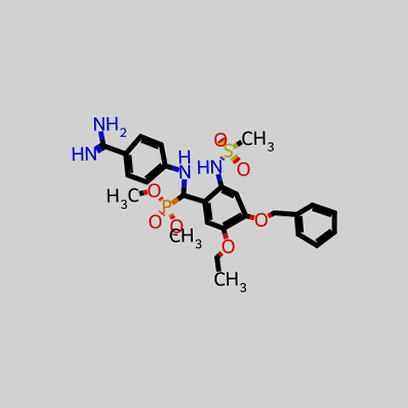 CCOc1cc(C(Nc2ccc(C(=N)N)cc2)P(=O)(OC)OC)c(NS(C)(=O)=O)cc1OCc1ccccc1